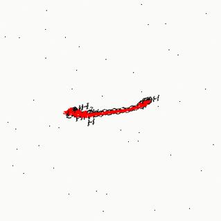 CCCN(OCC)C(=O)C1=Cc2ccc(-c3ccc(C(O)N[C@@H](C)C(=O)NCCOCCOCCOCCOCCOCCOCCOCCOCCOCCOCCC(=O)Oc4c(F)c(F)c(S(=O)(=O)O)c(F)c4F)cc3)cc2N=C(N)C1